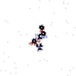 COc1ccc(NC(=O)C2CCc3c(cccc3Oc3ccccc3)NC2)cc1OCCN(C(C)C)C(C)C